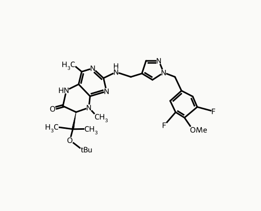 COc1c(F)cc(Cn2cc(CNc3nc(C)c4c(n3)N(C)[C@@H](C(C)(C)OC(C)(C)C)C(=O)N4)cn2)cc1F